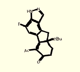 CCCCC12CCC(=O)C(C(C)=O)=C1c1cc(F)c3[nH]ncc3c1C2